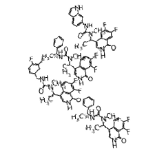 CC(c1c[nH]c(=O)c2c(F)c(F)ccc12)N(C)C(=O)NCc1ccc(F)c(F)c1.CC(c1c[nH]c(=O)c2c(F)c(F)ccc12)N(C)C(=O)N[C@@H](C)c1ccccc1.CC(c1c[nH]c(=O)c2c(F)c(F)ccc12)N(C)C(=O)N[C@H](C)c1ccccc1.CC(c1c[nH]c(=O)c2cc(F)c(F)cc12)N(C)C(=O)Nc1ccc2cc[nH]c2c1